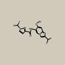 CC(C)Oc1cc2nc(C(F)F)cn2cc1NC(=O)c1ccn(C(F)F)n1